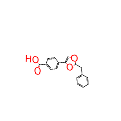 O=C(O)c1ccc(C2=COC(Cc3ccccc3)O2)cc1